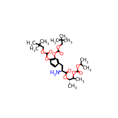 CC(C)OC(=O)OC(C)[C@H](C)OC(=O)[C@@H](N)Cc1ccc(OC(=O)OCC(C)(C)C)c(OC(=O)OCC(C)(C)C)c1